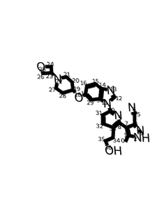 Cc1[nH]nc(C#N)c1-c1nc(-n2cnc3ccc(OC4CCN(C5COC5)CC4)cc32)ccc1CCO